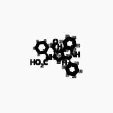 O=C(O)N[C@@H]1CCCC[C@@H]1C(=O)N1CC[C@H]2[C@@H](c3ccccc3)Nc3ccccc3[C@H]21